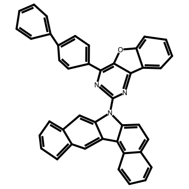 c1ccc(-c2ccc(-c3nc(-n4c5cc6ccccc6cc5c5c6ccccc6ccc54)nc4c3oc3ccccc34)cc2)cc1